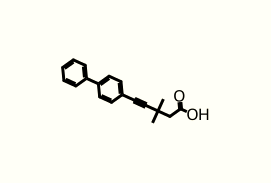 CC(C)(C#Cc1ccc(-c2ccccc2)cc1)CC(=O)O